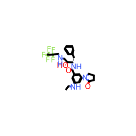 CCNc1cc(C(=O)N[C@@H](Cc2ccccc2)[C@H](O)CNCC(F)(F)C(F)(F)F)cc(N2CCCC2=O)c1